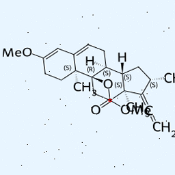 C=C=C1[C@@H](C)C[C@H]2[C@@H]3CC=C4C=C(OC)CC[C@]4(C)[C@@]3(OC(=O)OC)CC[C@]12C